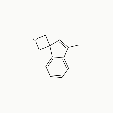 CC1=CC2(COC2)c2ccccc21